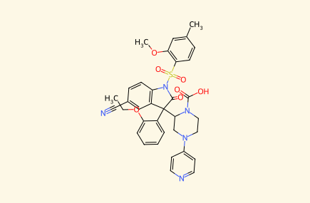 CCOc1ccccc1C1(C2CN(c3ccncc3)CCN2C(=O)O)C(=O)N(S(=O)(=O)c2ccc(C)cc2OC)c2ccc(C#N)cc21